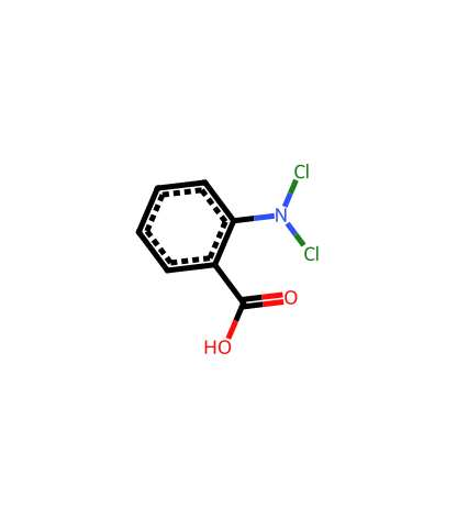 O=C(O)c1ccccc1N(Cl)Cl